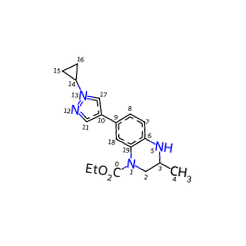 CCOC(=O)N1CC(C)Nc2ccc(-c3cnn(C4CC4)c3)cc21